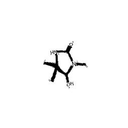 CN1C(=O)NC(C)(C)C1O